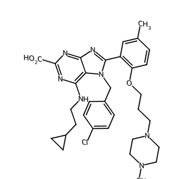 Cc1ccc(OCCCN2CCN(C)CC2)c(-c2nc3nc(C(=O)O)nc(NCCC4CC4)c3n2Cc2ccc(Cl)cc2)c1